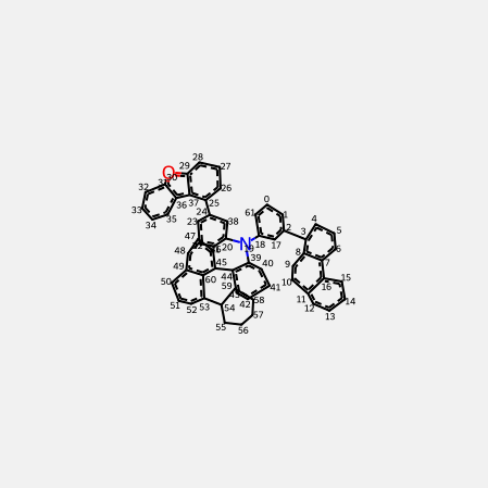 c1cc(-c2cccc3c2ccc2ccccc23)cc(N(c2cccc(-c3cccc4oc5ccccc5c34)c2)c2ccccc2-c2cccc3cccc(C4CCCCC4)c23)c1